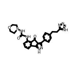 O=C(Nc1cccc2c1C(=O)c1c(-c3ccc(CCc4nnn[nH]4)cc3)n[nH]c1-2)NN1CCOCC1